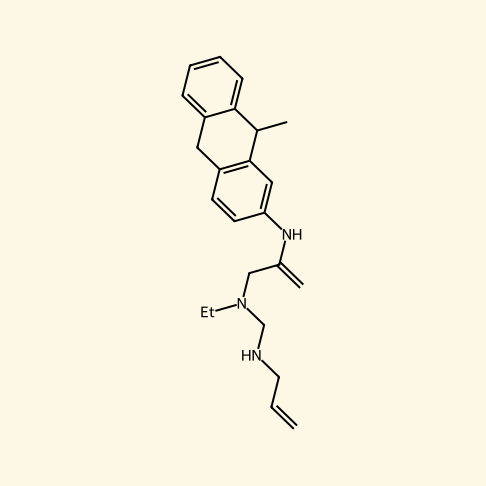 C=CCNCN(CC)CC(=C)Nc1ccc2c(c1)C(C)c1ccccc1C2